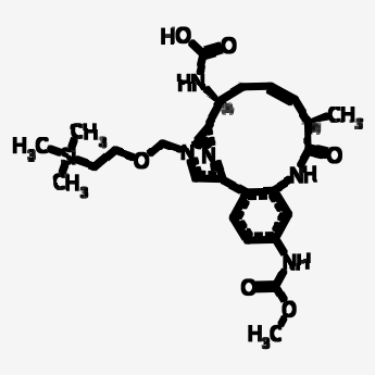 COC(=O)Nc1ccc2c(c1)NC(=O)[C@H](C)C=CC[C@H](NC(=O)O)c1nc-2cn1COCC[Si](C)(C)C